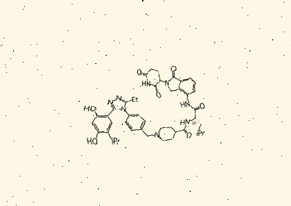 CCc1nnc(-c2cc(C(C)C)c(O)cc2O)n1-c1ccc(CN2CCC(C(=O)N[C@@H](CC(C)C)C(=O)Nc3cccc4c3CN(C3CCC(=O)NC3=O)C4=O)CC2)cc1